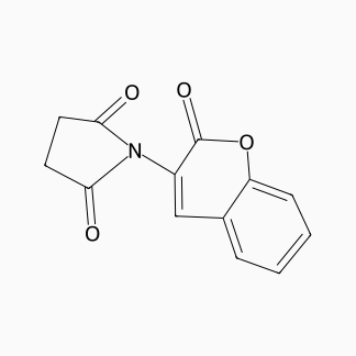 O=C1CCC(=O)N1c1cc2ccccc2oc1=O